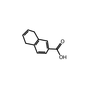 O=C(O)c1ccc2c(c1)CC=CC2